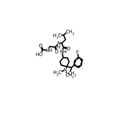 CC(C)CC(NC(=O)CNC(=O)O)C(=O)NC1CCC(C(C)c2cccc(F)c2)(N(C)C)CC1